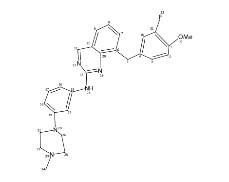 COc1ccc(Cc2cccc3cnc(Nc4cccc(N5CCN(C)CC5)c4)nc23)cc1F